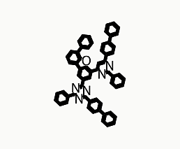 c1ccc(-c2ccc(-c3cc(-c4cc(-c5nc(-c6ccccc6)nc(-c6ccc(-c7ccccc7)cc6)n5)cc5c4oc4c(-c6ccccc6)cccc45)nc(-c4ccccc4)n3)cc2)cc1